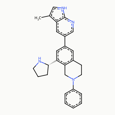 Cc1c[nH]c2ncc(-c3cc4c(c([C@@H]5CCCN5)c3)CN(c3ccccc3)CC4)cc12